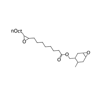 CCCCCCCCC1OC1CCCCCCCC(=O)OCC1CC2OC2CC1C